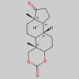 C[C@]12COC(=O)OC1CC[C@@H]1C2CC[C@]2(C)C(=O)CC[C@@H]12